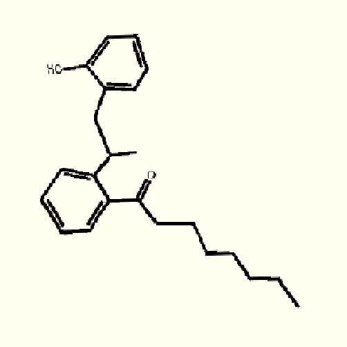 CCCCCCCC(=O)c1ccccc1C(C)Cc1ccccc1O